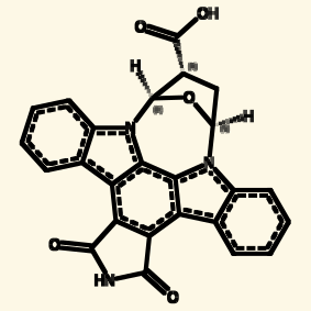 O=C1NC(=O)c2c1c1c3ccccc3n3c1c1c2c2ccccc2n1[C@@H]1O[C@H]3C[C@H]1C(=O)O